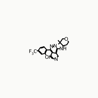 CC1(C)COCC[C@@H]1Nc1nnc(-c2ccc(C(F)(F)F)cc2O)c2ccncc12